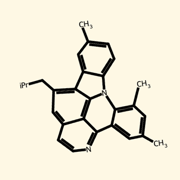 Cc1ccc2c(c1)c1c(CC(C)C)cc3ccnc4c5cc(C)cc(C)c5n2c1c34